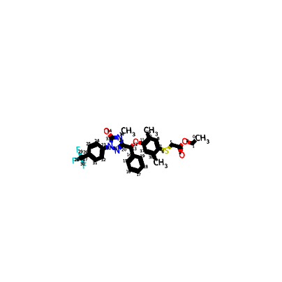 CCOC(=O)CSc1cc(C)c(OC(c2ccccc2)c2nn(-c3ccc(C(F)(F)F)cc3)c(=O)n2C)cc1C